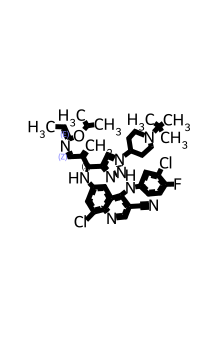 C=C(/C=N\C(=C/C)OC(C)C)[C@H](Nc1cc(Cl)c2ncc(C#N)c(Nc3ccc(F)c(Cl)c3)c2c1)c1cn(C2CCN(C(C)(C)C)CC2)nn1